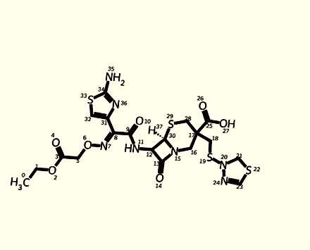 CCOC(=O)CON=C(C(=O)NC1C(=O)N2CC(CSN3CSC=N3)(C(=O)O)CS[C@H]12)c1csc(N)n1